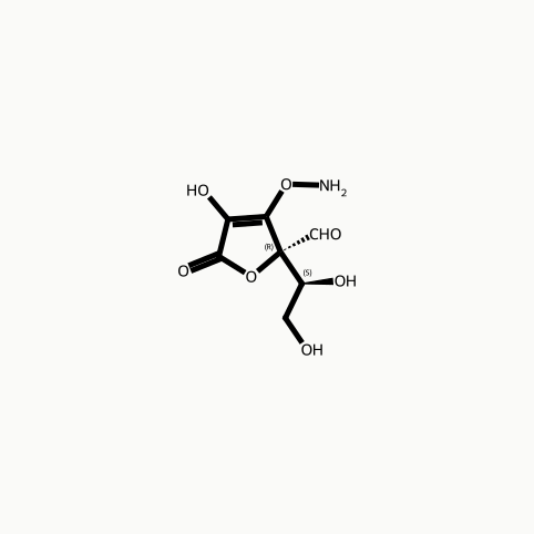 NOC1=C(O)C(=O)O[C@]1(C=O)[C@@H](O)CO